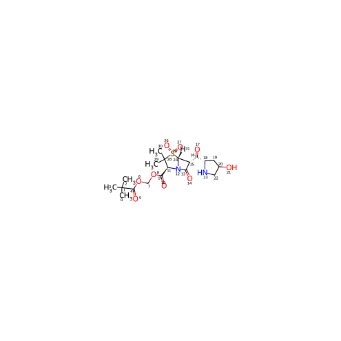 CC(C)(C)C(=O)OCOC(=O)[C@@H]1N2C(=O)[C@@H](C(=O)[C@@H]3CC(O)CN3)[C@H]2S(=O)(=O)C1(C)C